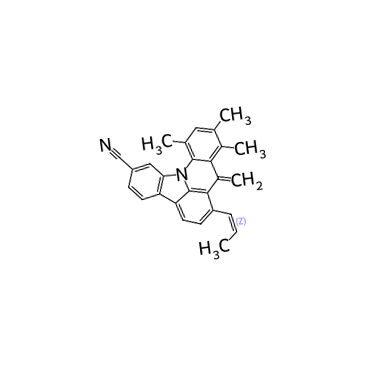 C=c1c2c(C)c(C)cc(C)c2n2c3cc(C#N)ccc3c3ccc(/C=C\C)c1c32